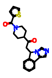 O=C(CC1c2ccccc2-c2cncn21)C1CCN(C(=O)c2cccs2)CC1